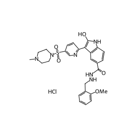 COc1ccccc1CNNC(=O)c1ccc2[nH]c(O)c(-c3ccc(S(=O)(=O)N4CCN(C)CC4)cn3)c2c1.Cl